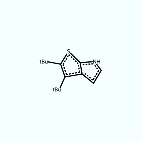 CC(C)(C)c1sc2[nH]ccc2c1C(C)(C)C